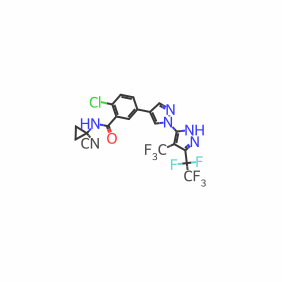 N#CC1(NC(=O)c2cc(-c3cnn(-c4[nH]nc(C(F)(F)C(F)(F)F)c4C(F)(F)F)c3)ccc2Cl)CC1